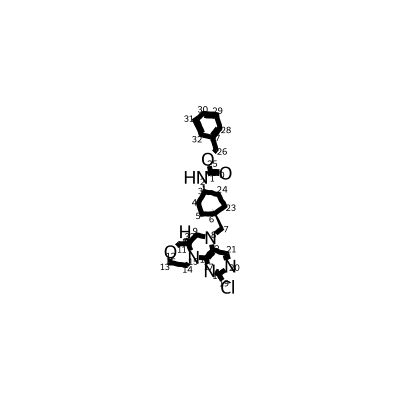 O=C(N[C@H]1CC[C@H](CN2C[C@@H]3COCCN3c3nc(Cl)ncc32)CC1)OCc1ccccc1